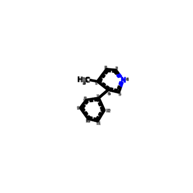 Cc1ccncc1-c1[c]cccc1